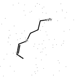 C/C=C\[P]CCCCCC